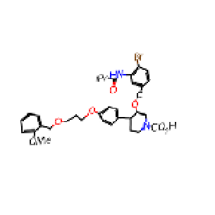 COc1ccccc1COCCCOc1ccc(C2CCN(C(=O)O)CC2OCc2ccc(Br)c(NC(=O)C(C)C)c2)cc1